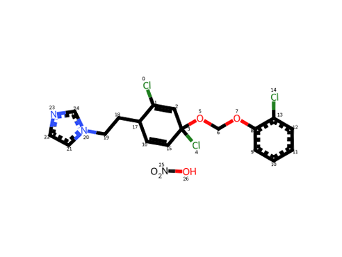 ClC1=CC(Cl)(OCOc2ccccc2Cl)C=CC1CCn1ccnc1.O=[N+]([O-])O